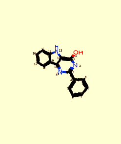 Oc1nc(-c2ccccc2)nc2c1[nH]c1ccccc12